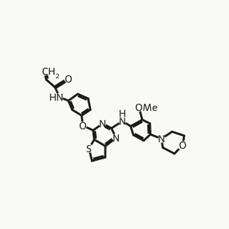 C=CC(=O)Nc1cccc(Oc2nc(Nc3ccc(N4CCOCC4)cc3OC)nc3ccsc23)c1